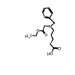 CCOC(=O)CN(CCCCC(=O)O)Cc1ccccc1